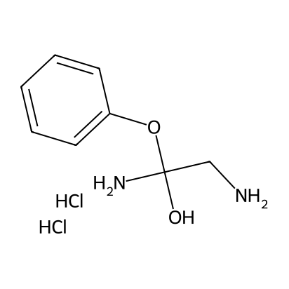 Cl.Cl.NCC(N)(O)Oc1ccccc1